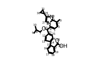 Cc1ccc([C@H](OCC(C)C)c2ccc(-c3ccccc3C(=O)O)cc2)n2cc(C3CC3)nc12